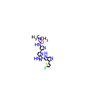 CN(C)CC(=O)Nc1cncc(-c2ccc3[nH]nc(-c4cc5c(-c6ccc(F)s6)cncc5[nH]4)c3n2)c1